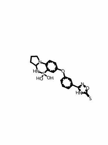 OS1(O)NC2CCCN2c2ccc(Oc3cccc(-c4noc(=S)[nH]4)c3)cc21